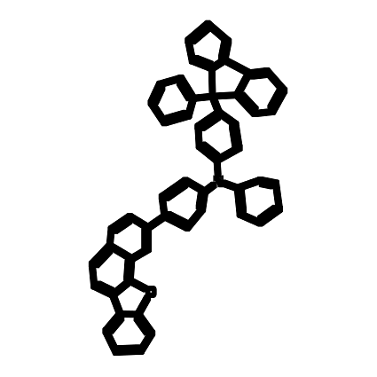 c1ccc(N(c2ccc(-c3ccc4ccc5c6ccccc6oc5c4c3)cc2)c2ccc(C3(c4ccccc4)c4ccccc4-c4ccccc43)cc2)cc1